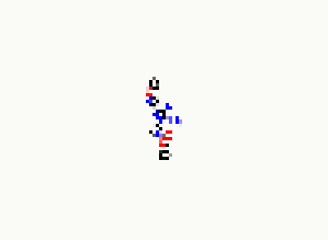 N#Cc1c(-c2ccc(Oc3ccccc3)nc2)nn(C2CCCN(C(=O)OCc3ccccc3)C2)c1N